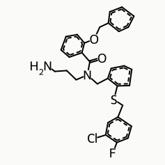 NCCCN(Cc1ccccc1SCc1ccc(F)c(Cl)c1)C(=O)c1ccccc1OCc1ccccc1